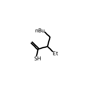 C=C(S)C(CC)CCCCC